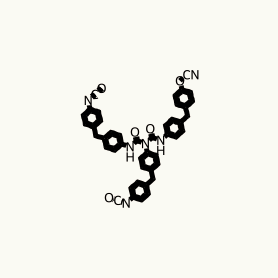 N#COc1ccc(Cc2ccc(NC(=O)N(C(=O)Nc3ccc(Cc4ccc(N=C=O)cc4)cc3)c3ccc(Cc4ccc(N=C=O)cc4)cc3)cc2)cc1